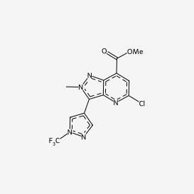 COC(=O)c1cc(Cl)nc2c(-c3cnn(C(F)(F)F)c3)n(C)nc12